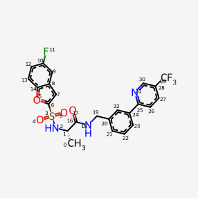 C[C@H](NS(=O)(=O)c1cc2cc(F)ccc2o1)C(=O)NCc1cccc(-c2ccc(C(F)(F)F)cn2)c1